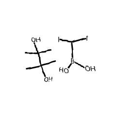 CC(C)(O)C(C)(C)O.OB(O)C(I)I